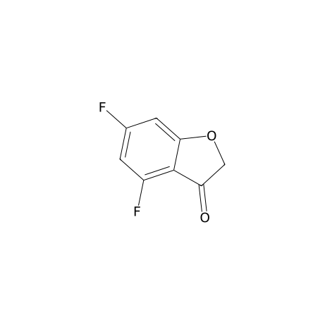 O=C1COc2cc(F)cc(F)c21